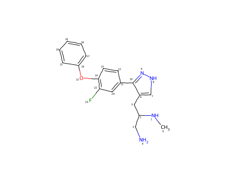 CNC(CN)Cc1c[nH]nc1-c1ccc(Oc2ccccc2)c(F)c1